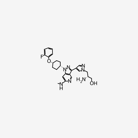 CNc1cc2c(cn1)c(-c1cnn(C[C@@H](N)CO)c1)nn2[C@H]1CC[C@@H](Oc2ccccc2F)CC1